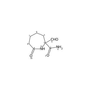 NC(=O)C1(C=O)CCCCC(=O)N1